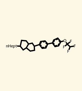 CCCCCCCC1CCC2CC(c3ccc(-c4ccc(OC(F)(F)C(F)F)cc4)cc3)CCC2C1